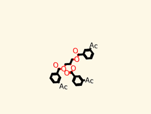 CC(=O)c1cccc(C(=O)OCC(COC(=O)c2cccc(C(C)=O)c2)OC(=O)c2cccc(C(C)=O)c2)c1